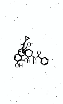 O=C(N[C@H]1CC[C@@]2(O)[C@H]3Cc4ccc(O)c5c4[C@@]2(CC[N+]3([O-])CC2CC2)[C@H]1O5)c1ccccc1